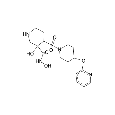 O=C(NO)C1(O)CNCCC1S(=O)(=O)N1CCC(Oc2ccccn2)CC1